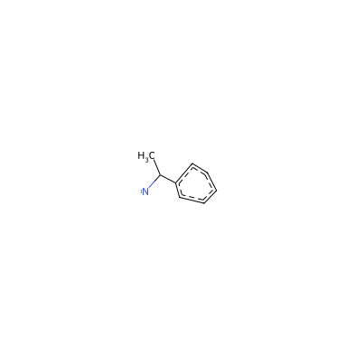 CC([N])c1ccccc1